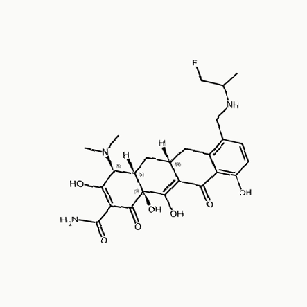 CC(CF)NCc1ccc(O)c2c1C[C@H]1C[C@H]3[C@H](N(C)C)C(O)=C(C(N)=O)C(=O)[C@@]3(O)C(O)=C1C2=O